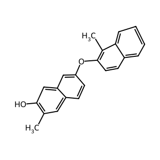 Cc1cc2ccc(Oc3ccc4ccccc4c3C)cc2cc1O